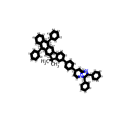 CC1(C)c2cc(-c3ccc(-c4ccn5c(-c6ccccc6)c(-c6ccccc6)nc5c4)cc3)ccc2-c2cc3c(-c4ccccc4)c4ccccc4c(-c4ccccc4)c3cc21